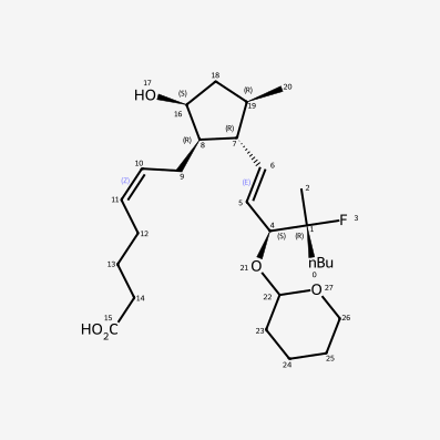 CCCC[C@@](C)(F)[C@H](/C=C/[C@@H]1[C@@H](C/C=C\CCCC(=O)O)[C@@H](O)C[C@H]1C)OC1CCCCO1